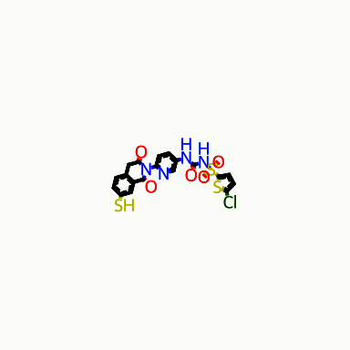 O=C(Nc1ccc(N2C(=O)Cc3ccc(S)cc3C2=O)nc1)NS(=O)(=O)c1ccc(Cl)s1